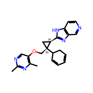 Cc1ncc(OC[C@@]2(C3C=CC=CC3)C[C@H]2c2nc3cnccc3[nH]2)c(C)n1